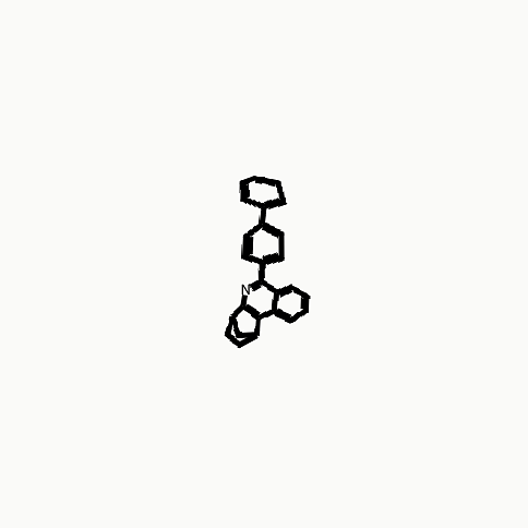 c1ccc(-c2ccc(-c3nc4c(c5ccccc35)C3CCC4C3)cc2)cc1